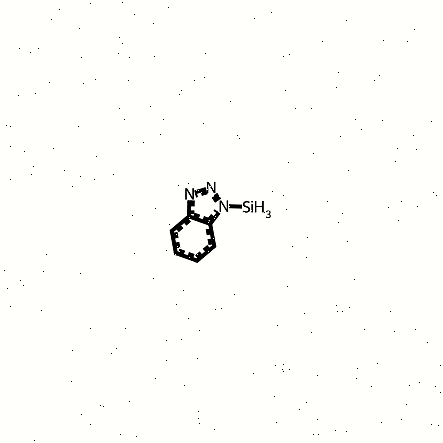 [SiH3]n1nnc2ccccc21